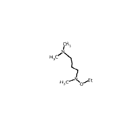 CCON(C)CCCN(C)C